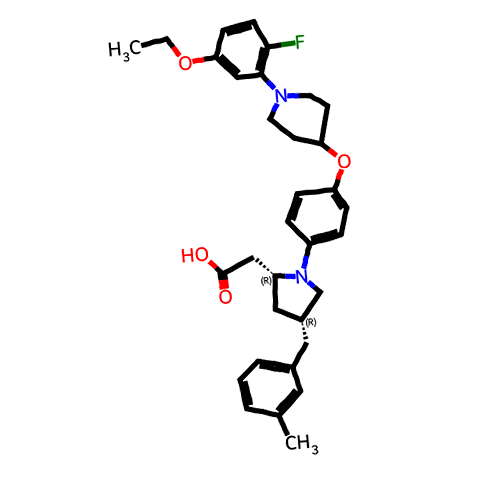 CCOc1ccc(F)c(N2CCC(Oc3ccc(N4C[C@H](Cc5cccc(C)c5)C[C@@H]4CC(=O)O)cc3)CC2)c1